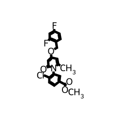 COC(=O)c1ccc(Cl)c(-n2c(C)cc(OCc3ccc(F)cc3F)cc2=O)c1